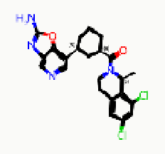 C[C@H]1c2c(Cl)cc(Cl)cc2CCN1C(=O)[C@@H]1CCC[C@H](c2cncc3nc(N)oc23)C1